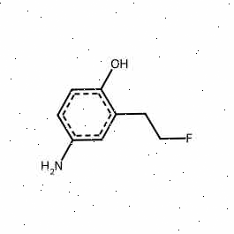 Nc1ccc(O)c(CCF)c1